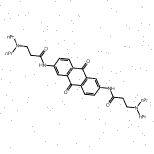 CCCN(CCC)CCC(=O)Nc1ccc2c(c1)C(=O)c1ccc(NC(=O)CCN(CCC)CCC)cc1C2=O